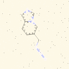 [N-]=[N+]=NCc1ccc2cncn2c1